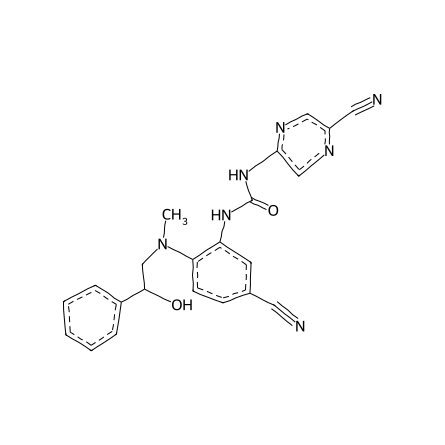 CN(CC(O)c1ccccc1)c1ccc(C#N)cc1NC(=O)Nc1cnc(C#N)cn1